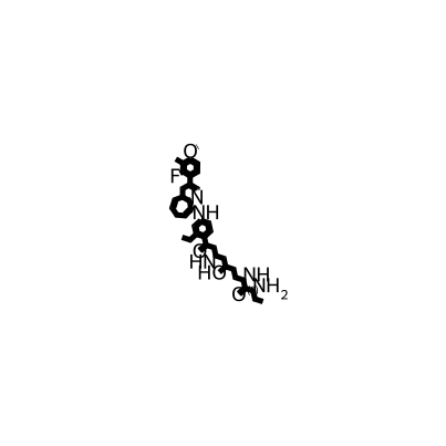 CCc1cc(NC2=CCC=CC3CC(c4ccc(OC)c(C)c4F)=CN=C23)ccc1C(=O)CC(=N)CC(O)CCC(=N)C(=O)[C@@H](N)CC